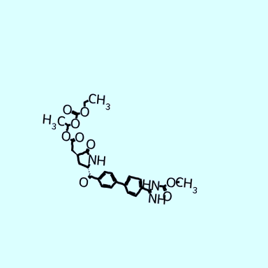 CCOC(=O)OC(C)OC(=O)C[C@@H]1C[C@@H](C(=O)c2ccc(-c3ccc(C(=N)NC(=O)OC)cc3)cc2)NC1=O